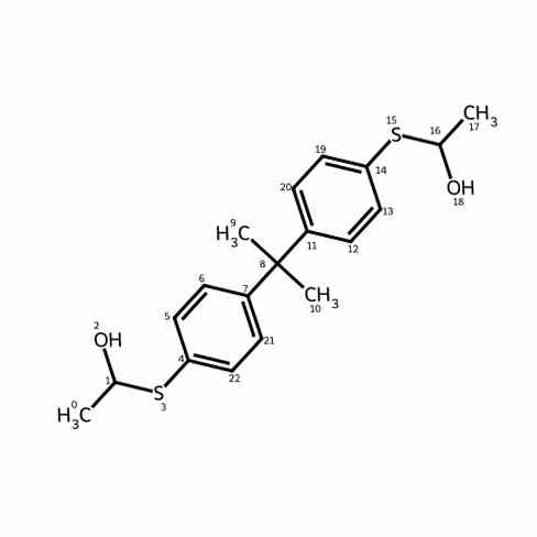 CC(O)Sc1ccc(C(C)(C)c2ccc(SC(C)O)cc2)cc1